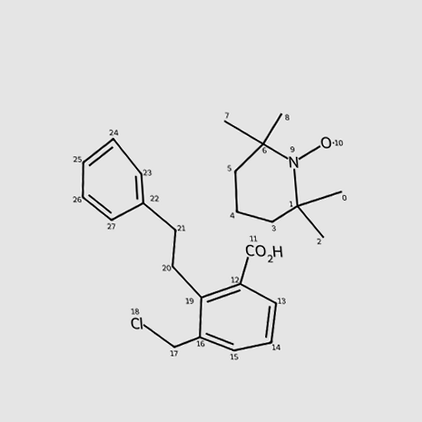 CC1(C)CCCC(C)(C)N1[O].O=C(O)c1cccc(CCl)c1CCc1ccccc1